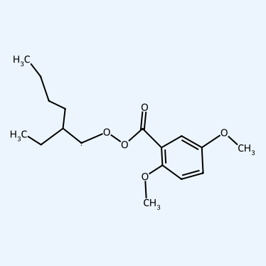 CCCCC([CH]OOC(=O)c1cc(OC)ccc1OC)CC